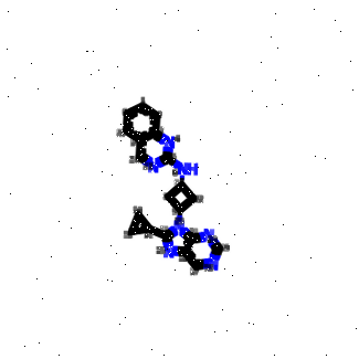 c1ccc2nc(N[C@H]3C[C@H](n4c(C5CC5)nc5cncnc54)C3)ncc2c1